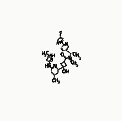 Cc1cc(Nc2cc(C)[nH]n2)nc([C@]2(O)C[C@@H](C(=O)N(C)[C@@H](C)c3ccc(-n4cc(F)cn4)nc3)C2)c1